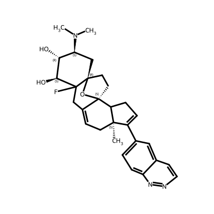 CN(C)[C@H]1C[C@@]23CC[C@@]4(O2)C(=CC[C@]2(C)C(c5ccc6nnccc6c5)=CCC24)CC3(F)[C@@H](O)[C@@H]1O